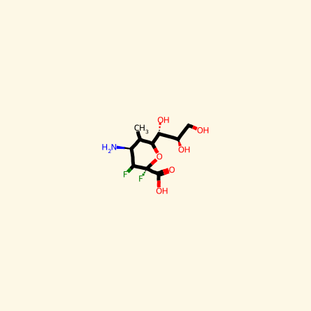 CC1C([C@H](O)[C@H](O)CO)O[C@@](F)(C(=O)O)C(F)[C@H]1N